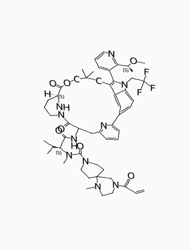 C=CC(=O)N1CCN(C)C2(CCN(C(=O)N(C)[C@H](C(=O)NC3Cc4cccc(n4)-c4ccc5c(c4)c(c(-c4cccnc4[C@H](C)OC)n5CC(F)(F)F)CC(C)(C)COC(=O)[C@@H]4CCCN(N4)C3=O)C(C)C)CC2)C1